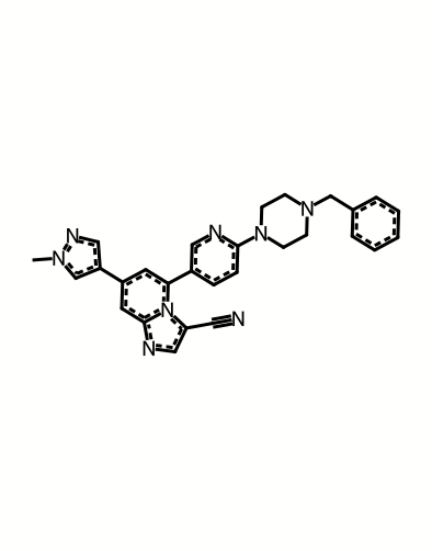 Cn1cc(-c2cc(-c3ccc(N4CCN(Cc5ccccc5)CC4)nc3)n3c(C#N)cnc3c2)cn1